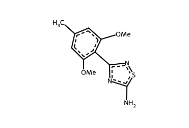 COc1cc(C)cc(OC)c1-c1nsc(N)n1